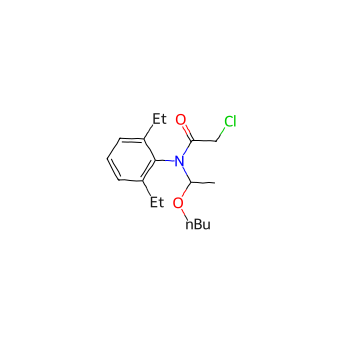 CCCCOC(C)N(C(=O)CCl)c1c(CC)cccc1CC